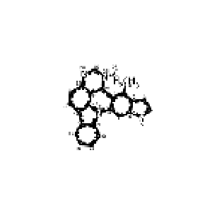 Cc1c2ccsc2cc2c1c1c3c(ccc4c5ccccc5n2c43)nc[n+]1C